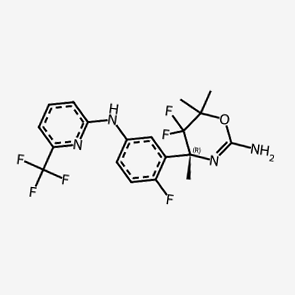 CC1(C)OC(N)=N[C@](C)(c2cc(Nc3cccc(C(F)(F)F)n3)ccc2F)C1(F)F